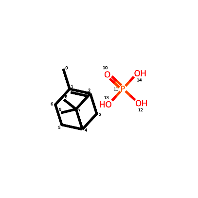 CC1=C2CC(CC1)C2(C)C.O=P(O)(O)O